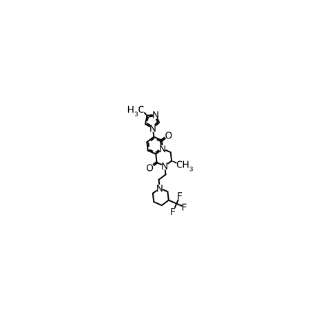 Cc1cn(-c2ccc3n(c2=O)C[C@@H](C)N(CCN2CCCC(C(F)(F)F)C2)C3=O)cn1